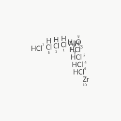 Cl.Cl.Cl.Cl.Cl.Cl.Cl.Cl.O.[AlH3].[Zr]